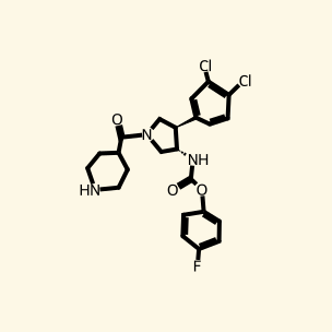 O=C(N[C@@H]1CN(C(=O)C2CCNCC2)C[C@H]1c1ccc(Cl)c(Cl)c1)Oc1ccc(F)cc1